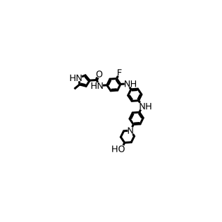 Cc1cc(C(=O)Nc2ccc(Nc3ccc(Nc4ccc(N5CCC(O)CC5)cc4)cc3)c(F)c2)c[nH]1